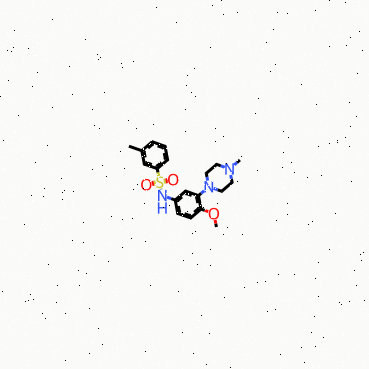 COc1ccc(NS(=O)(=O)c2cccc(C)c2)cc1N1CCN(C)CC1